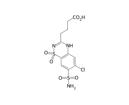 NS(=O)(=O)c1cc2c(cc1Cl)NC(CCCC(=O)O)=NS2(=O)=O